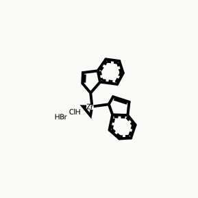 Br.C1=C[CH]([Zr]2([CH]3C=Cc4ccccc43)[CH2][CH2]2)c2ccccc21.Cl